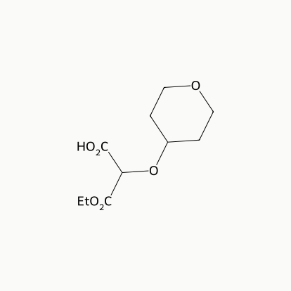 CCOC(=O)C(OC1CCOCC1)C(=O)O